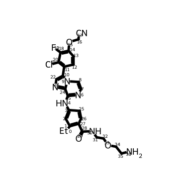 CCc1cc(Nc2nccn3c(-c4ccc(OCC#N)c(F)c4Cl)cnc23)ccc1C(=O)NCCOCCN